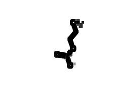 [CH2]CCO[N+](=O)[O-]